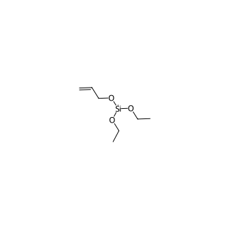 C=CCO[Si](OCC)OCC